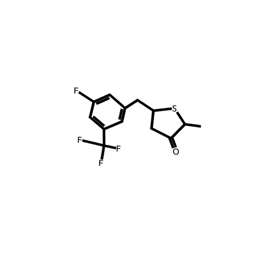 CC1SC(Cc2cc(F)cc(C(F)(F)F)c2)CC1=O